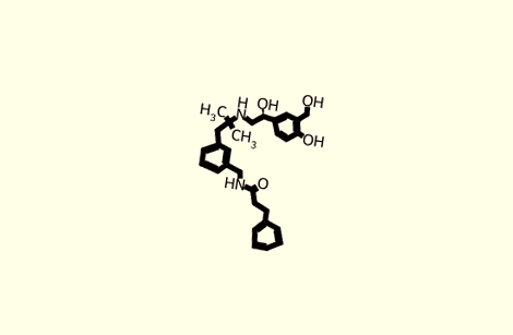 CC(C)(Cc1cccc(CNC(=O)CCc2ccccc2)c1)NC[C@H](O)c1ccc(O)c(CO)c1